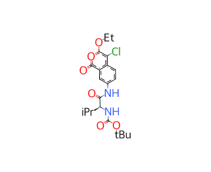 CCOc1oc(=O)c2cc(NC(=O)[C@@H](NC(=O)OC(C)(C)C)C(C)C)ccc2c1Cl